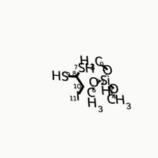 CO[SiH](OC)OC.SC(S)CI